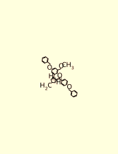 C=C1C[C@H]2[C@@H](C1)c1cc(OCc3ccccc3)cc(COC)c1O[C@H]2c1ccc(OCc2ccccc2)cc1